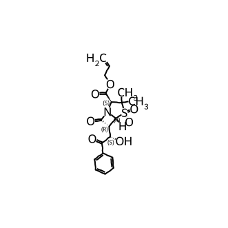 C=CCOC(=O)[C@@H]1N2C(=O)[C@@H]([C@H](O)C(=O)c3ccccc3)[C@H]2S(=O)(=O)C1(C)C